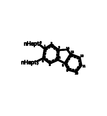 CCCCCCCc1[c]c2c(cc1CCCCCCC)-c1ccccc1C2